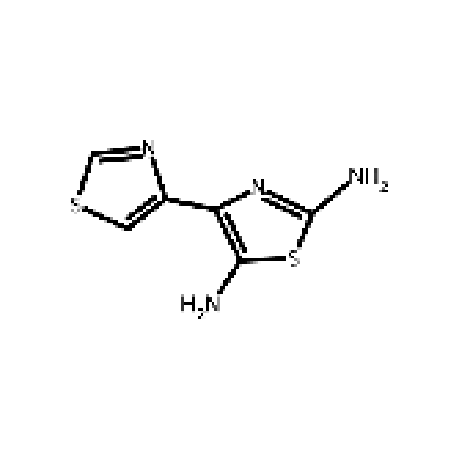 Nc1nc(-c2cscn2)c(N)s1